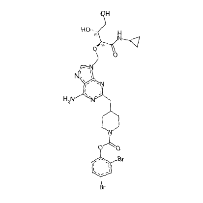 Nc1nc(CC2CCN(C(=O)Oc3ccc(Br)cc3Br)CC2)nc2c1ncn2CO[C@H](C(=O)NC1CC1)[C@H](O)CO